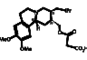 COc1cc2c(cc1OC)[C@H]1C[C@@H](COC(=O)CC(=O)O)[C@H](CC(C)C)CN1CC2